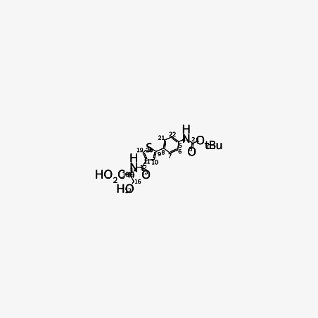 CC(C)(C)OC(=O)Nc1ccc(-c2cc(C(=O)N[C@@H](CO)C(=O)O)cs2)cc1